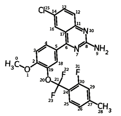 COc1ccc(-c2nc(N)nc3ccc(Cl)cc23)cc1OC(F)(F)c1ccc(C)cc1F